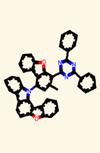 Cc1cc(-n2c3ccccc3c3ccc4oc5ccccc5c4c32)c2c(oc3ccccc32)c1-c1nc(-c2ccccc2)nc(-c2ccccc2)n1